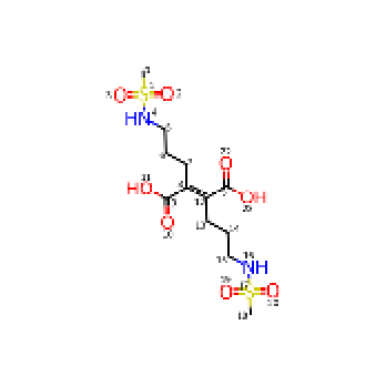 CS(=O)(=O)NCCC/C(C(=O)O)=C(/CCCNS(C)(=O)=O)C(=O)O